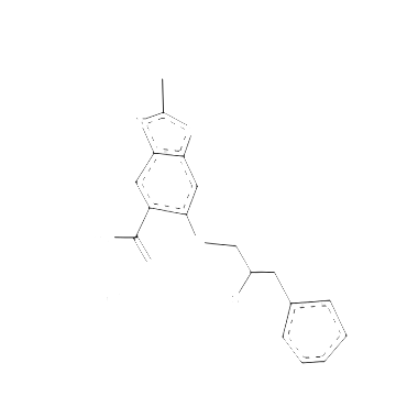 Cc1nc2cc(C(=O)O)c(OCC(N)Cc3ccccc3)cc2o1.Cl